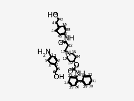 Nc1ccc(CCO)cc1.O=C(CCN1CCC(OC(=O)Nc2ccccc2-c2ccccc2)CC1)Nc1ccc(CCO)cc1